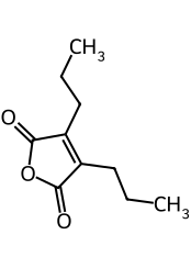 CCCC1=C(CCC)C(=O)OC1=O